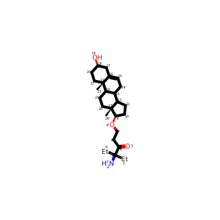 CCC(N)(CC)C(=O)CCO[C@@H]1CCC2C3CC=C4C[C@H](O)CC[C@@]4(C)C3CC[C@]21C